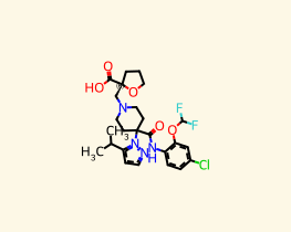 CC(C)c1ccnn1C1(C(=O)Nc2ccc(Cl)cc2OC(F)F)CCN(C[C@@]2(C(=O)O)CCCO2)CC1